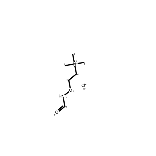 C[N+](C)(C)CCONC=O.[Cl-]